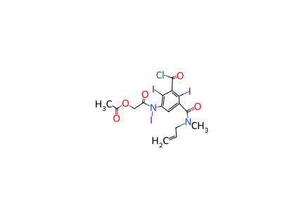 C=CCN(C)C(=O)c1cc(N(I)C(=O)COC(C)=O)c(I)c(C(=O)Cl)c1I